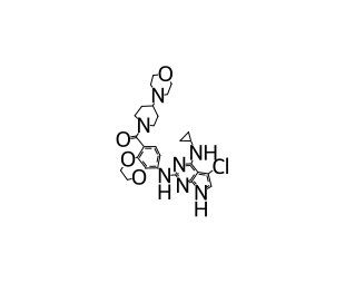 O=C(c1ccc(Nc2nc(NC3CC3)c3c(Cl)c[nH]c3n2)c2c1OCCO2)N1CCC(N2CCOCC2)CC1